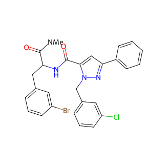 CNC(=O)C(Cc1cccc(Br)c1)NC(=O)c1cc(-c2ccccc2)nn1Cc1cccc(Cl)c1